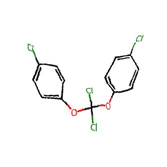 Clc1ccc(OC(Cl)(Cl)Oc2ccc(Cl)cc2)cc1